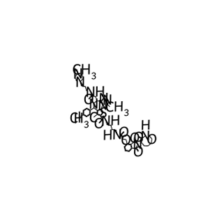 Cc1c(C(=O)NCCCCNC(=O)COc2cccc3c2C(=O)N(C2CCCOCNC2=O)C3=O)sc2c1C(c1ccc(Cl)cc1)=N[C@@H](CC(=O)NCCCN1CCN(C)CC1)c1nnc(C)n1-2